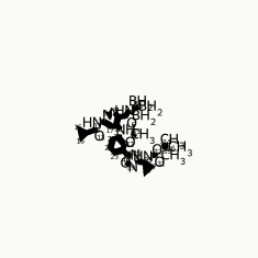 BC(B)(B)NC(=O)c1nnc(NC(=O)C2CC2)cc1Nc1cccc(-c2nc(C3(NC(=O)OC(C)(C)C)CC3)no2)c1OC